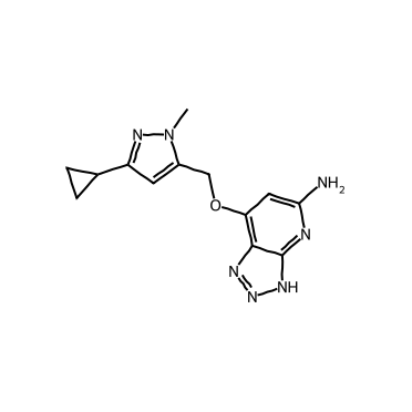 Cn1nc(C2CC2)cc1COc1cc(N)nc2[nH]nnc12